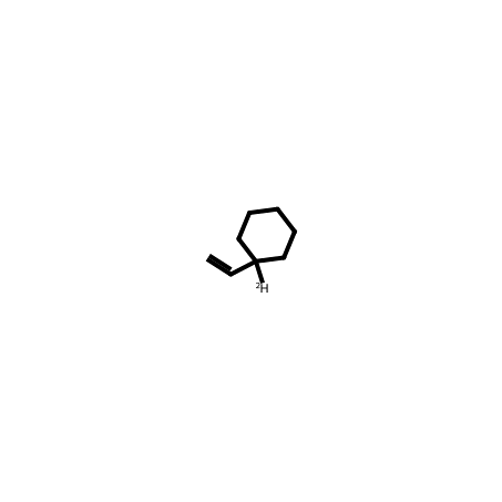 [2H]C1(C=C)CCCCC1